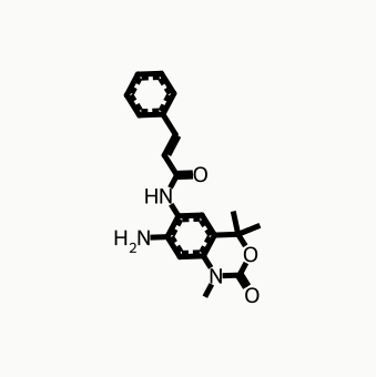 CN1C(=O)OC(C)(C)c2cc(NC(=O)C=Cc3ccccc3)c(N)cc21